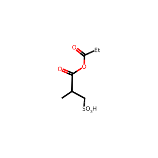 CCC(=O)OC(=O)C(C)CS(=O)(=O)O